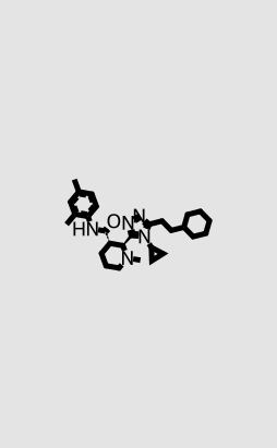 Cc1ccc(NC(=O)[C@H]2CCCN(C)[C@@H]2c2nnc(CCC3CCCCC3)n2C2CC2)c(C)c1